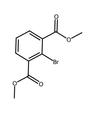 COC(=O)c1cccc(C(=O)OC)c1Br